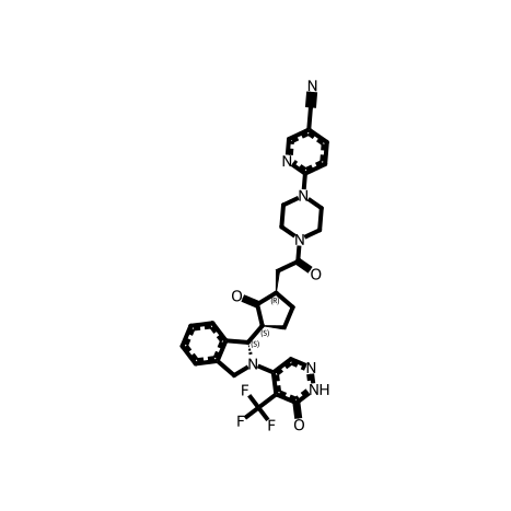 N#Cc1ccc(N2CCN(C(=O)C[C@H]3CC[C@@H]([C@H]4c5ccccc5CN4c4cn[nH]c(=O)c4C(F)(F)F)C3=O)CC2)nc1